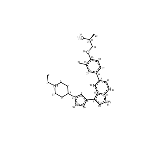 CCN1CCC(n2cc(-c3c[nH]c4ncc(-c5ccc(OC[C@H](C)O)c(C)c5)nc34)cn2)CC1